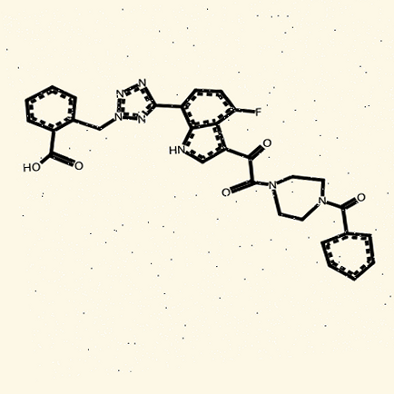 O=C(O)c1ccccc1Cn1nnc(-c2ccc(F)c3c(C(=O)C(=O)N4CCN(C(=O)c5ccccc5)CC4)c[nH]c23)n1